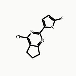 Fc1ccc(-c2nc(Cl)c3c(n2)CCC3)s1